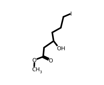 COC(=O)CC(O)CCCI